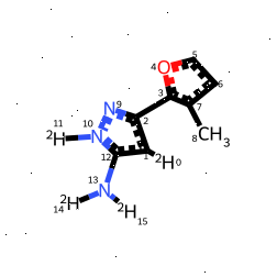 [2H]c1c(-c2occc2C)nn([2H])c1N([2H])[2H]